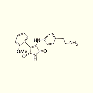 COc1ccccc1C1=C(Nc2ccc(CCN)cc2)C(=O)NC1=O